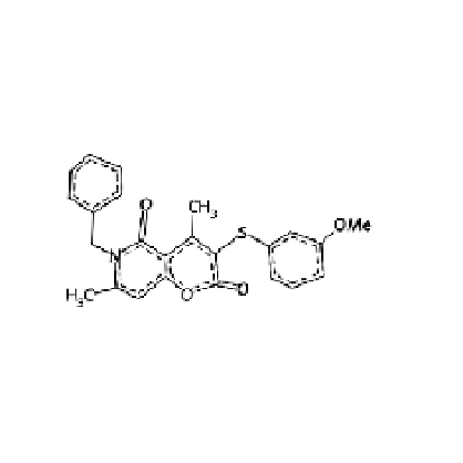 COc1cccc(Sc2c(C)c3c(=O)n(Cc4ccccc4)c(C)cc3oc2=O)c1